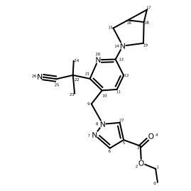 CCOC(=O)c1cnn(Cc2ccc(N3CC4CC4C3)nc2C(C)(C)C#N)c1